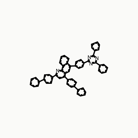 c1ccc(-c2ccc(-c3cc(-c4ccc(-c5ccccc5)cc4)c4cc(-c5ccc(-c6nc(-c7ccccc7)nc(-c7ccccc7)n6)cc5)c5ccccc5c4n3)cc2)cc1